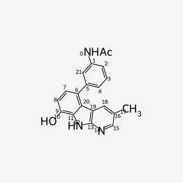 CC(=O)Nc1cccc(-c2ccc(O)c3[nH]c4ncc(C)cc4c23)c1